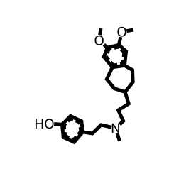 COc1cc2c(cc1OC)CCC(CCCN(C)CCc1ccc(O)cc1)CC2